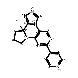 c1cc(-c2ncc3c(n2)N2CCC[C@@H]2c2nncn2-3)ccn1